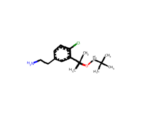 CC(C)(C)[SiH2]OC(C)(C)c1cc(CCN)ccc1Cl